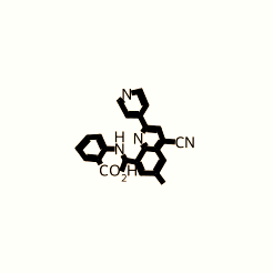 Cc1cc(C(C)Nc2ccccc2C(=O)O)c2nc(-c3ccncc3)cc(C#N)c2c1